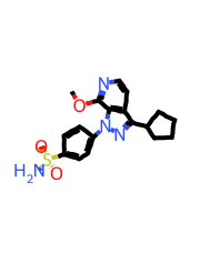 COc1nccc2c(C3CCCC3)nn(-c3ccc(S(N)(=O)=O)cc3)c12